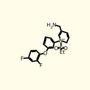 CCS(=O)(=O)[N+]1(c2cccc(Oc3ccc(F)cc3F)c2)C=C(CN)C=CC1